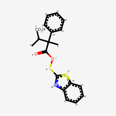 CC(C(=O)O)C(C)(C(=O)OSc1nc2ccccc2s1)c1ccccc1